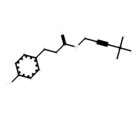 CC(C)(C)C#CCNC(=O)CCc1ccc(F)cc1